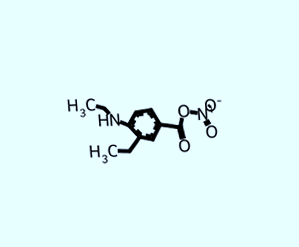 CCNc1ccc(C(=O)O[N+](=O)[O-])cc1CC